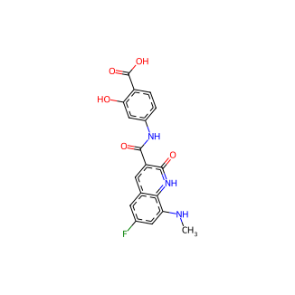 CNc1cc(F)cc2cc(C(=O)Nc3ccc(C(=O)O)c(O)c3)c(=O)[nH]c12